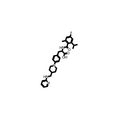 Cc1cc(F)cc(C(C)C)c1C(=O)NC(Cc1ccc(N2CCC(CNc3ccccn3)CC2)cc1)C(=O)O